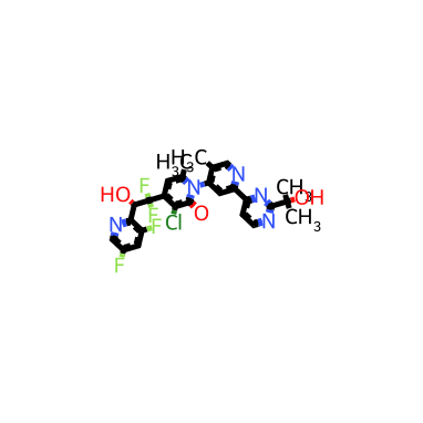 Cc1cnc(-c2ccnc(C(C)(C)O)n2)cc1-n1c(C)cc(C(F)(F)C(O)c2ncc(F)cc2F)c(Cl)c1=O